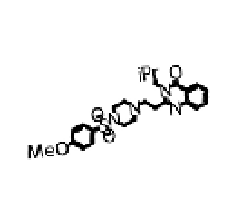 COc1ccc(S(=O)(=O)N2CCN(CCc3nc4ccccc4c(=O)n3CC(C)C)CC2)cc1